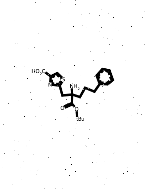 CC(C)(C)OC(=O)C(N)(CCCc1ccccc1)Cc1nc(C(=O)O)cs1